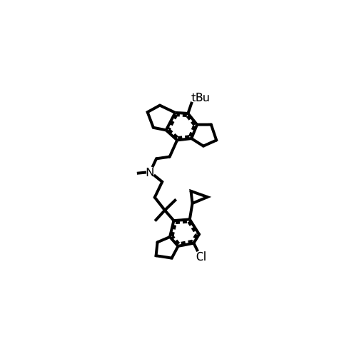 CN(CCc1c2c(c(C(C)(C)C)c3c1CCC3)CCC2)CCC(C)(C)c1c(C2CC2)cc(Cl)c2c1CCC2